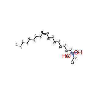 CCCCCCCC/C=C\CCCCCCCC[N+](O)(O)CC